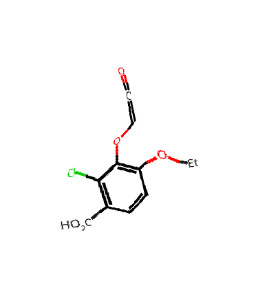 CCOc1ccc(C(=O)O)c(Cl)c1OC=C=O